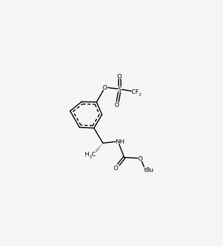 C[C@@H](NC(=O)OC(C)(C)C)c1cccc(OS(=O)(=O)C(F)(F)F)c1